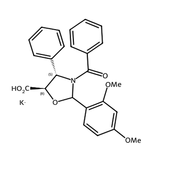 COc1ccc(C2O[C@@H](C(=O)O)[C@H](c3ccccc3)N2C(=O)c2ccccc2)c(OC)c1.[K]